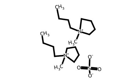 CCCC[N+]1(C)CCCC1.CCCC[N+]1(C)CCCC1.O=S(=O)([O-])[O-]